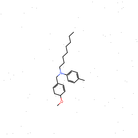 CCCCCCCCN(CC1=CCC(OC)C=C1)c1ccc(C)cc1